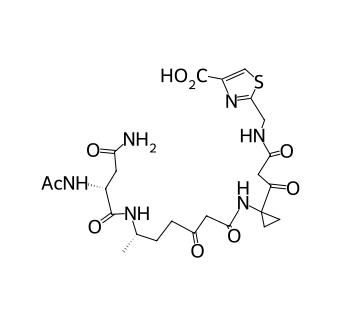 CC(=O)N[C@H](CC(N)=O)C(=O)N[C@@H](C)CCC(=O)CC(=O)NC1(C(=O)CC(=O)NCc2nc(C(=O)O)cs2)CC1